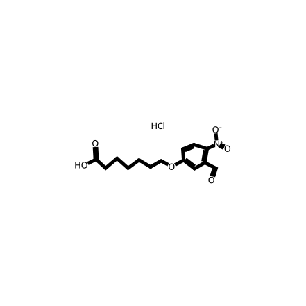 Cl.O=Cc1cc(OCCCCCCC(=O)O)ccc1[N+](=O)[O-]